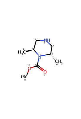 C[C@H]1CNC[C@H](C)N1C(=O)OC(C)(C)C